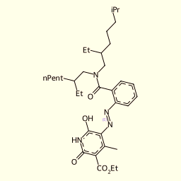 CCCCCC(CC)CN(CC(CC)CCCC(C)C)C(=O)c1ccccc1/N=N/c1c(O)[nH]c(=O)c(C(=O)OCC)c1C